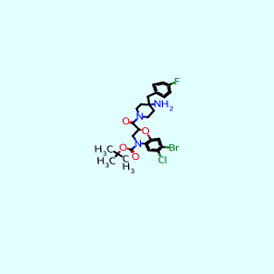 CC(C)(C)OC(=O)N1CC(C(=O)N2CCC(N)(Cc3ccc(F)cc3)CC2)Oc2cc(Br)c(Cl)cc21